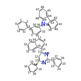 c1ccc(-c2cc(-c3ccc(-c4cc(-c5ccccc5)nc(-c5ccccc5)n4)c4ccccc34)cc(-n3c4ccccc4c4ccccc43)c2)cc1